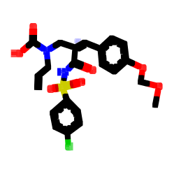 C=CCN(C/C(=C/c1ccc(OCOC)cc1)C(=O)NS(=O)(=O)c1ccc(Cl)cc1)C(=O)O